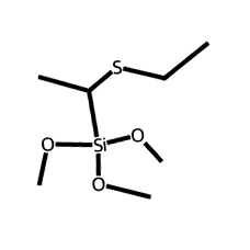 CCSC(C)[Si](OC)(OC)OC